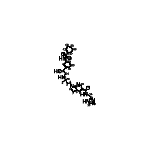 CC(C)(CCn1ccc2cc(C(=O)NCc3nnc[nH]3)cnc21)NC[C@H](O)c1cccc(NS(=O)(=O)c2ccccc2)c1